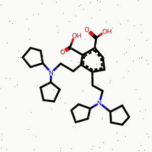 O=C(O)c1ccc(CCN(C2CCCC2)C2CCCC2)c(CCN(C2CCCC2)C2CCCC2)c1C(=O)O